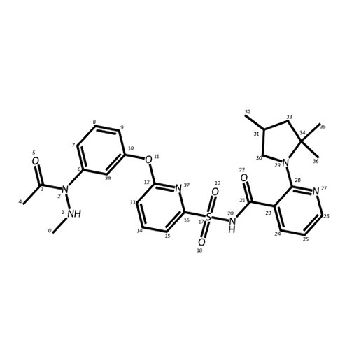 CNN(C(C)=O)c1cccc(Oc2cccc(S(=O)(=O)NC(=O)c3cccnc3N3CC(C)CC3(C)C)n2)c1